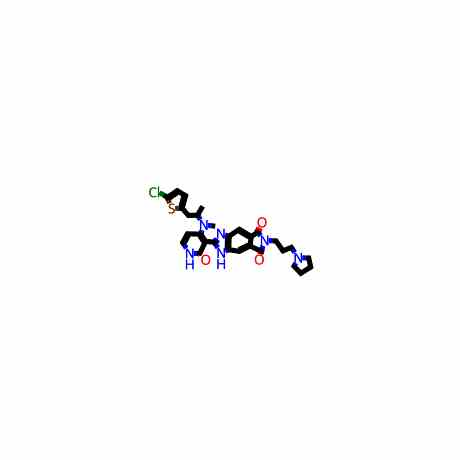 CC(Cc1ccc(Cl)s1)N(C)c1cc[nH]c(=O)c1-c1nc2cc3c(cc2[nH]1)C(=O)N(CCCN1CCCC1)C3=O